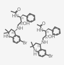 CC(=O)N[C@@H](Cc1ccccc1)[C@H](O)CN[C@@H]1CC(C)(C)Nc2ccc(Br)cc21.CC(=O)N[C@@H](Cc1ccccc1)[C@H](O)CN[C@H]1CC(C)(C)Nc2ccc(Br)cc21